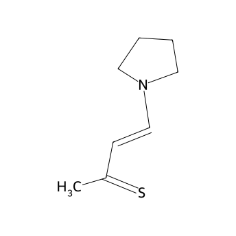 CC(=S)C=CN1CCCC1